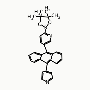 CC1(C)OB(c2ccc(-c3c4ccccc4c(-c4ccncc4)c4ccccc34)cn2)OC1(C)C